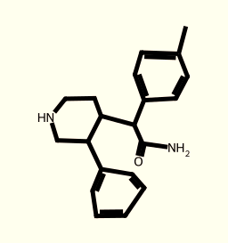 Cc1ccc(C(C(N)=O)C2CCNCC2c2ccccc2)cc1